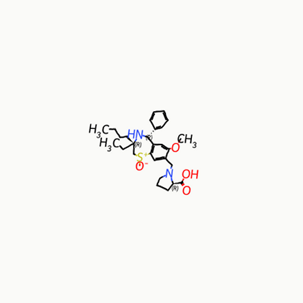 CCCC[C@]1(CC)C[S+]([O-])c2cc(CN3CCC[C@@H]3C(=O)O)c(OC)cc2[C@@H](c2ccccc2)N1